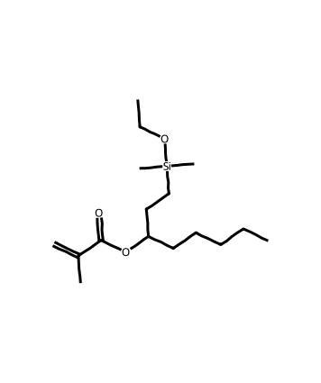 C=C(C)C(=O)OC(CCCCC)CC[Si](C)(C)OCC